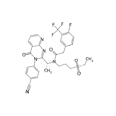 CCS(=O)(=O)CCCN(C(=O)Cc1ccc(F)c(C(F)(F)F)c1)[C@H](C)c1nc2ncccc2c(=O)n1-c1ccc(C#N)cc1